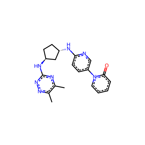 Cc1nnc(N[C@H]2CC[C@H](Nc3ccc(-n4ccccc4=O)cn3)C2)nc1C